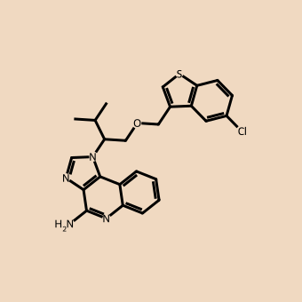 CC(C)C(COCc1csc2ccc(Cl)cc12)n1cnc2c(N)nc3ccccc3c21